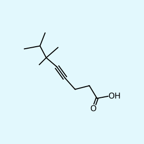 CC(C)C(C)(C)C#CCCC(=O)O